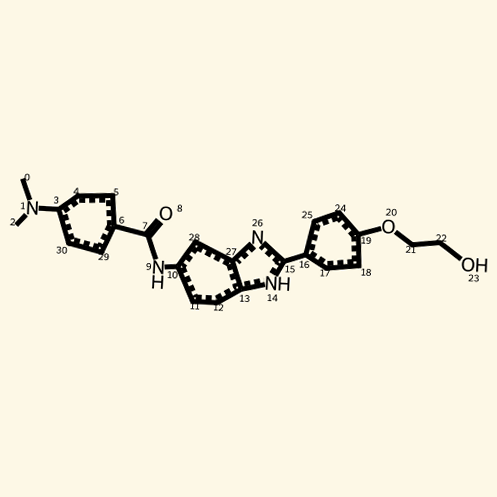 CN(C)c1ccc(C(=O)Nc2ccc3[nH]c(-c4ccc(OCCO)cc4)nc3c2)cc1